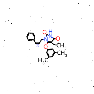 CCc1c(Oc2cc(C)cc(C)c2)n(C/C=C\c2ccccc2)c(=O)[nH]c1=O